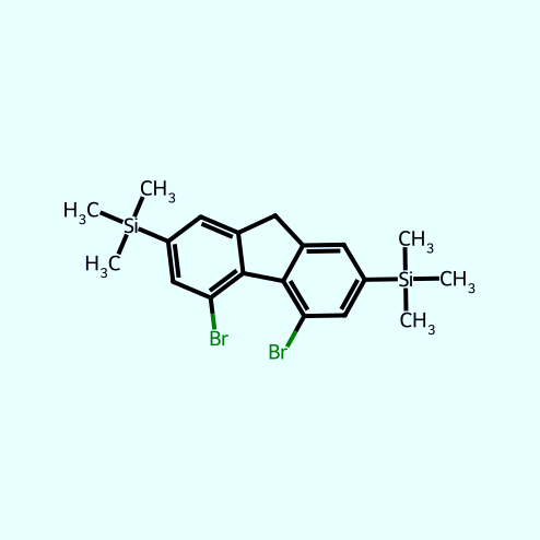 C[Si](C)(C)c1cc(Br)c2c(c1)Cc1cc([Si](C)(C)C)cc(Br)c1-2